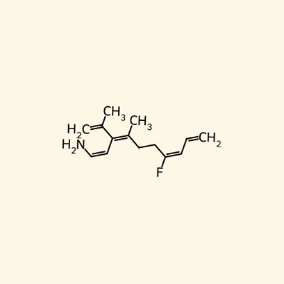 C=C/C=C(/F)CC/C(C)=C(\C=C/N)C(=C)C